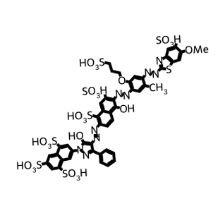 COc1cc2sc(N=Nc3cc(OCCCS(=O)(=O)O)c(N=Nc4c(S(=O)(=O)O)cc5c(S(=O)(=O)O)c(N=Nc6c(-c7ccccc7)nn(-c7cc(S(=O)(=O)O)c8cc(S(=O)(=O)O)cc(S(=O)(=O)O)c8c7)c6O)ccc5c4O)cc3C)nc2cc1S(=O)(=O)O